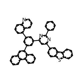 c1ccc(-c2nc(-c3cc(-c4cccc5ncccc45)cc(-c4cc5ccccc5c5ccccc45)c3)cc(-c3ccc4sc5ccccc5c4c3)n2)cc1